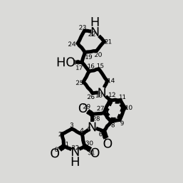 O=C1CCC(N2C(=O)c3cccc(N4CCC(C(O)C5CCNCC5)CC4)c3C2=O)C(=O)N1